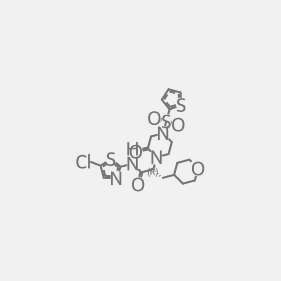 O=C(Nc1ncc(Cl)s1)[C@@H](CC1CCOCC1)N1CCN(S(=O)(=O)c2cccs2)CC1=O